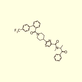 CC(C(=O)c1ccccc1)N(C)C(=O)c1csc(C2CCN(C(=O)c3ccccc3-c3ccc(C(F)(F)F)cc3)CC2)n1